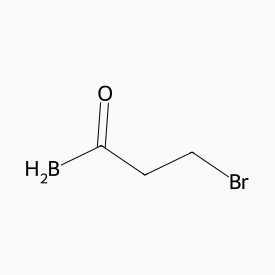 BC(=O)CCBr